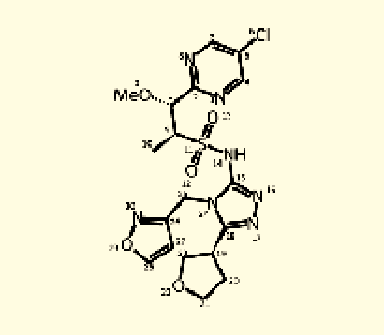 CO[C@H](c1ncc(Cl)cn1)[C@H](C)S(=O)(=O)Nc1nnc([C@H]2CCOC2)n1Cc1ccon1